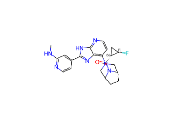 CNc1cc(-c2nc3c(N4CC5CCC(C4)N5C(=O)[C@@H]4C[C@H]4F)ccnc3[nH]2)ccn1